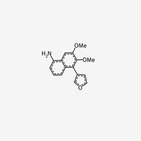 COc1cc2c(N)cccc2c(-c2ccoc2)c1OC